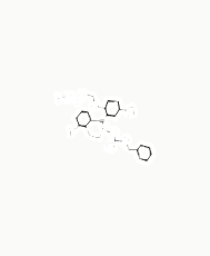 O=C(O)COc1ccc(Cl)cc1[C@@H]1c2cccc(F)c2CCN1OC(=O)OCc1ccccc1